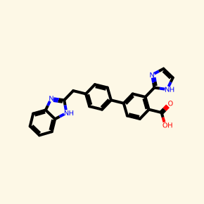 O=C(O)c1ccc(-c2ccc(Cc3nc4ccccc4[nH]3)cc2)cc1-c1ncc[nH]1